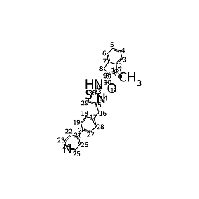 C[C@H]1c2ccccc2C[C@H]1C(=O)Nc1nc(Cc2ccc(-c3ccncc3)cc2)cs1